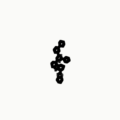 c1ccc(-c2cccc(-c3cc(-c4cccc5sc6c(-c7nc8ccccc8o7)cccc6c45)nc(-c4ccccc4)n3)c2)cc1